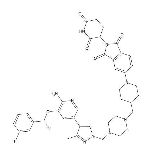 Cc1nn(CN2CCN(CC3CCN(c4ccc5c(c4)C(=O)N(C4CCC(=O)NC4=O)C5=O)CC3)CC2)cc1-c1cnc(N)c(O[C@H](C)c2cccc(F)c2)c1